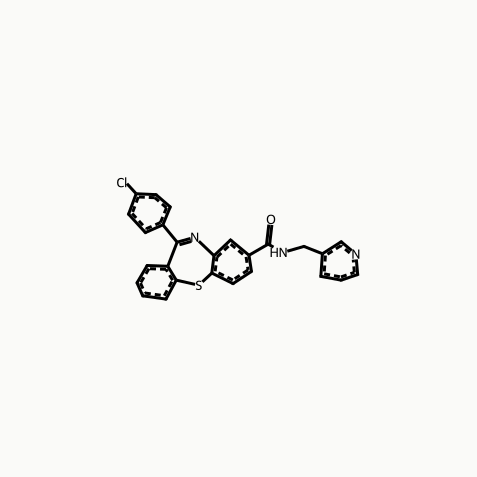 O=C(NCc1cccnc1)c1ccc2c(c1)N=C(c1ccc(Cl)cc1)c1ccccc1S2